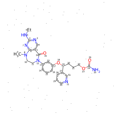 CCNc1ncc2c(n1)N(C)CCN(c1cccc(OC(CCCOC(N)=O)c3cccnc3)c1)C2=O